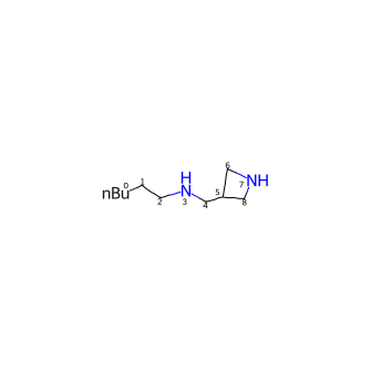 CCCCCCNCC1CNC1